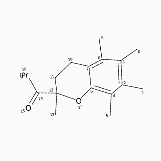 Cc1c(C)c(C)c2c(c1C)CCC(C)(C(=O)C(C)C)O2